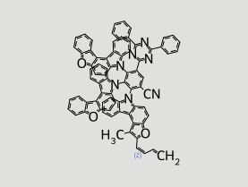 C=C/C=C\c1oc2ccc3c(c4ccccc4n3-c3c(C#N)cc(-c4nc(-c5ccccc5)nc(-c5ccccc5)n4)c(-n4c5ccccc5c5c6c(ccc54)oc4ccccc46)c3-n3c4ccccc4c4c5c(ccc43)oc3ccccc35)c2c1C